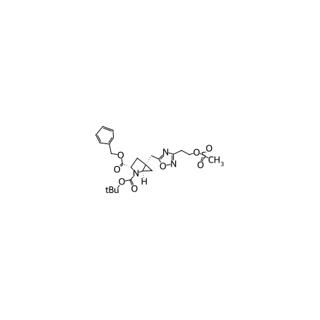 CC(C)(C)OC(=O)N1[C@H](C(=O)OCc2ccccc2)C[C@@]2(Cc3nc(CCOS(C)(=O)=O)no3)C[C@@H]12